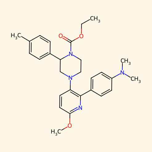 CCOC(=O)N1CCN(c2ccc(OC)nc2-c2ccc(N(C)C)cc2)CC1c1ccc(C)cc1